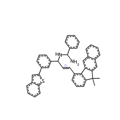 CC1(C)c2cc3ccccc3cc2-c2c(/C=C/C(NC(N)c3ccccc3)c3cccc(-c4cc5ccccc5s4)c3)cccc21